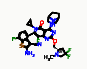 CN1CC(F)(F)C[C@H]1COc1nc(N2CC3CCC(C2)N3)c2c(=O)n(C3CC3)c(-c3ccc(F)c4sc(N)c(C#N)c34)c(F)c2n1